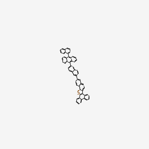 c1ccc2c(-c3c4ccccc4c(-c4ccc5cc(-c6ccc7c(ccc8c7sc7c9ccccc9c9ccccc9c87)c6)ccc5c4)c4ccccc34)cccc2c1